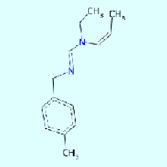 C/C=C\N(/C=N/Cc1ccc(C)cc1)CC